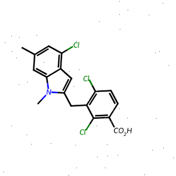 Cc1cc(Cl)c2cc(Cc3c(Cl)ccc(C(=O)O)c3Cl)n(C)c2c1